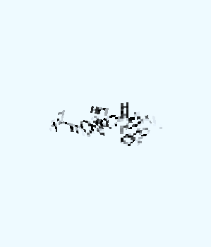 CC(C)(C)NCCOc1ccc(S(=O)(=O)N2CCC(Nc3nc(N)c(C(=O)c4c(F)cccc4F)s3)CC2)cn1.Cl